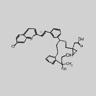 CC(O)(CO)c1ccccc1CCC(SCC1(CC(=O)O)CC1)c1cccc(/C=C/c2ccc3ccc(Cl)cc3n2)c1